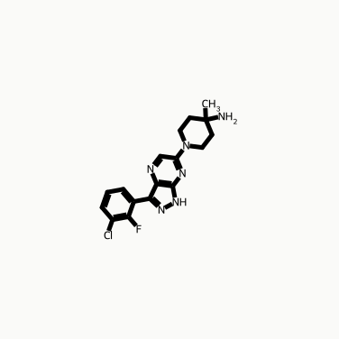 CC1(N)CCN(c2cnc3c(-c4cccc(Cl)c4F)n[nH]c3n2)CC1